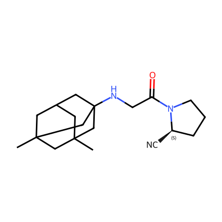 CC12CC3CC(C)(C1)CC(NCC(=O)N1CCC[C@H]1C#N)(C3)C2